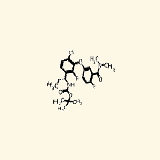 CC[C@@H](NC(=O)OC(C)(C)C)c1ccc(Cl)c(Oc2ccc(F)c(C(=O)N(C)C)c2)c1F